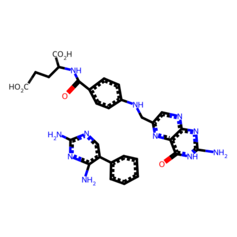 Nc1nc2ncc(CNc3ccc(C(=O)NC(CCC(=O)O)C(=O)O)cc3)nc2c(=O)[nH]1.Nc1ncc(-c2ccccc2)c(N)n1